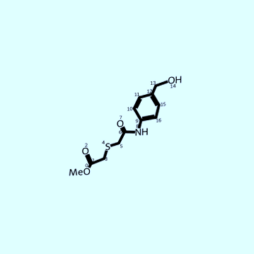 COC(=O)CSCC(=O)Nc1ccc(CO)cc1